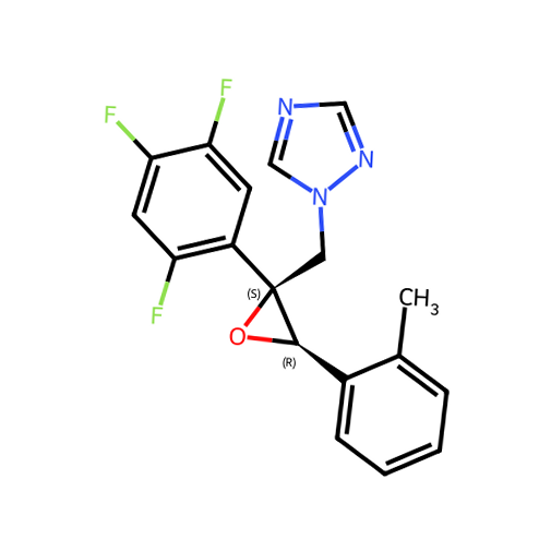 Cc1ccccc1[C@H]1O[C@]1(Cn1cncn1)c1cc(F)c(F)cc1F